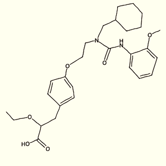 CCOC(Cc1ccc(OCCN(CC2CCCCC2)C(=O)Nc2ccccc2OC)cc1)C(=O)O